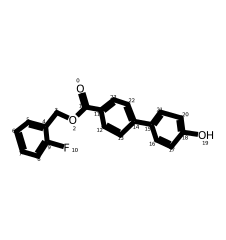 O=C(OCc1ccccc1F)c1ccc(-c2ccc(O)cc2)cc1